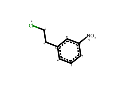 O=[N+]([O-])c1cccc(C[CH]Cl)c1